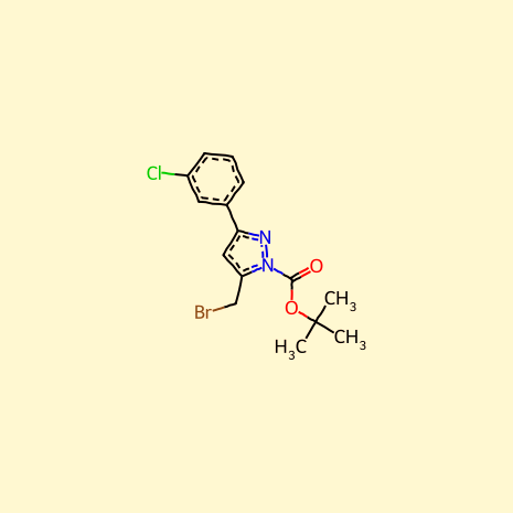 CC(C)(C)OC(=O)n1nc(-c2cccc(Cl)c2)cc1CBr